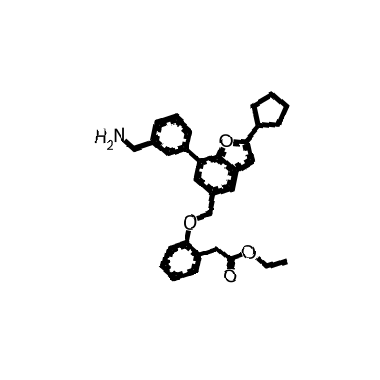 CCOC(=O)Cc1ccccc1OCc1cc(-c2cccc(CN)c2)c2oc(C3CCCC3)cc2c1